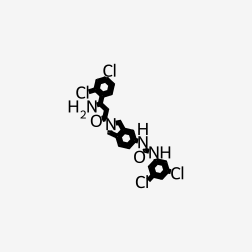 NC(CC(=O)N1Cc2ccc(NC(=O)Nc3cc(Cl)cc(Cl)c3)cc2C1)c1ccc(Cl)cc1Cl